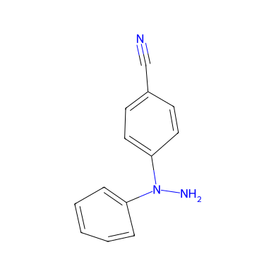 N#Cc1ccc(N(N)c2ccccc2)cc1